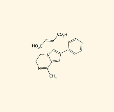 CC1=NCCn2cc(-c3ccccc3)cc21.O=C(O)/C=C/C(=O)O